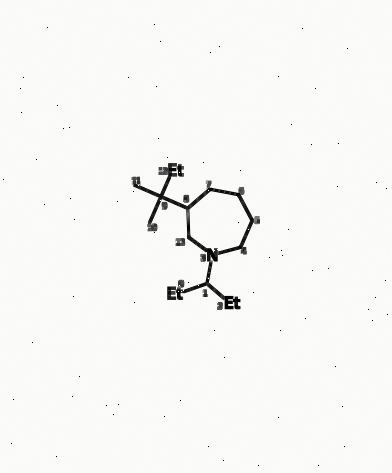 CCC(CC)N1CCCCC(C(C)(C)CC)C1